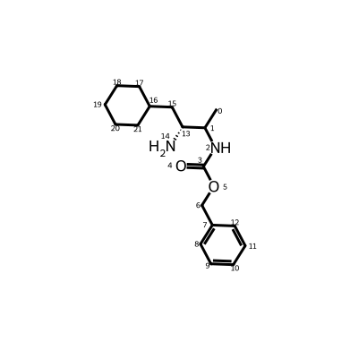 CC(NC(=O)OCc1ccccc1)[C@H](N)CC1CCCCC1